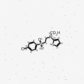 O=C(O)N(CCS(=O)(=O)c1ccc(Cl)cc1)c1cccs1